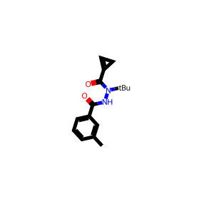 Cc1cccc(C(=O)NN(C(=O)C2=CC2)C(C)(C)C)c1